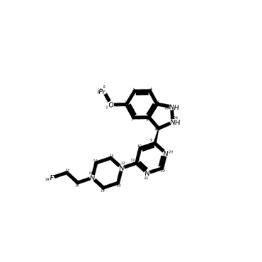 CC(C)Oc1ccc2c(c1)[C@H](c1cc(N3CCN(CCF)CC3)ncn1)NN2